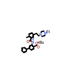 CCN1CCN(CCc2ccc(C)c(C(=O)Nc3cc(-c4ccccc4)ccc3C(=O)OC(C)(C)C)c2)CC1